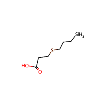 O=C(O)CCSCCC[SiH3]